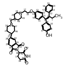 CCC(=C(c1ccc(O)cc1)c1ccc(OCCN2CCC(CN3CCC(c4ccc5c(c4)C(=O)N(C4CCC(=O)NC4=O)C5=O)CC3)CC2)cc1)c1ccccc1